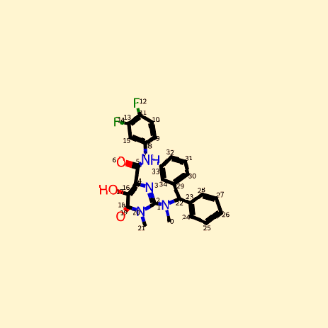 CN(c1nc(C(=O)Nc2ccc(F)c(F)c2)c(O)c(=O)n1C)C(c1ccccc1)c1ccccc1